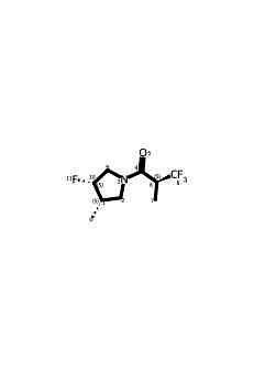 C[C@H]1CN(C(=O)[C@H](C)C(F)(F)F)C[C@H]1F